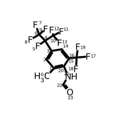 Cc1cc(C(F)(C(F)(F)F)C(F)(F)F)cc(C(F)(F)F)c1NC=O